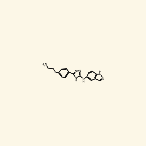 NCCOc1ccc(-c2nnc(Nc3ccc4[nH]ncc4c3)[nH]2)cc1